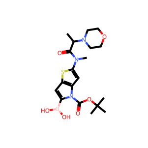 CC(C(=O)N(C)c1cc2c(cc(B(O)O)n2C(=O)OC(C)(C)C)s1)N1CCOCC1